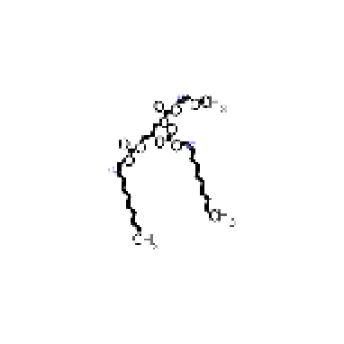 CCCCCCCC/C=C\OC(=O)OCC(COC(=O)O/C=C\OC)OC(=O)O/C=C\CCCCCCCC